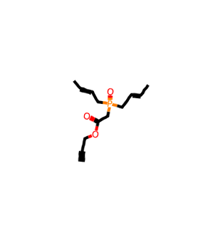 C#CCOC(=O)CP(=O)(C/C=C/C)C/C=C/C